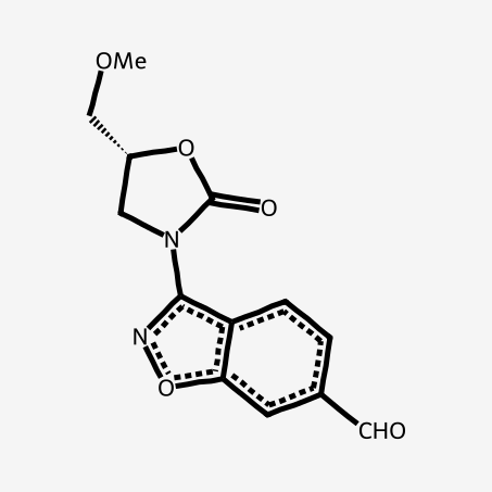 COC[C@H]1CN(c2noc3cc(C=O)ccc23)C(=O)O1